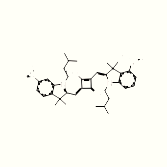 CC(C)CCN1/C(=C\C2=C(O)C(=C\C3=[N+](CCC(C)C)c4cc([N+](=O)[O-])ccc4C3(C)C)/C2=O)C(C)(C)c2c1cccc2[N+](=O)[O-]